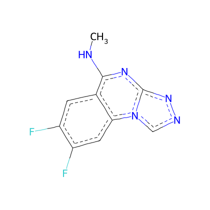 CNc1nc2nncn2c2cc(F)c(F)cc12